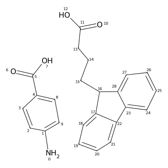 Nc1ccc(C(=O)O)cc1.O=C(O)CCCC1c2ccccc2-c2ccccc21